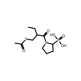 CCC(CSC(C)=O)C(=O)N1CCCC1P(=O)(O)O